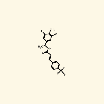 Cc1c(F)cc([C@@H](C)NC(=O)/C=C/c2ccc(C(F)(F)F)cc2)cc1F